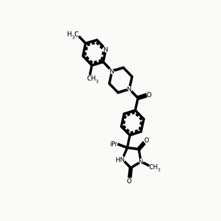 Cc1cnc(N2CCN(C(=O)c3ccc(C4(C(C)C)NC(=O)N(C)C4=O)cc3)CC2)c(C)c1